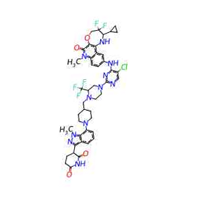 Cn1nc(C2CCC(=O)NC2=O)c2cccc(N3CCC(CN4CCN(c5ncc(Cl)c(Nc6ccc7c(c6)c6c(c(=O)n7C)OCC(F)(F)C(C7CC7)N6)n5)CC4C(F)(F)F)CC3)c21